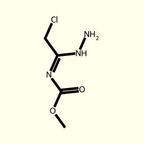 COC(=O)N=C(CCl)NN